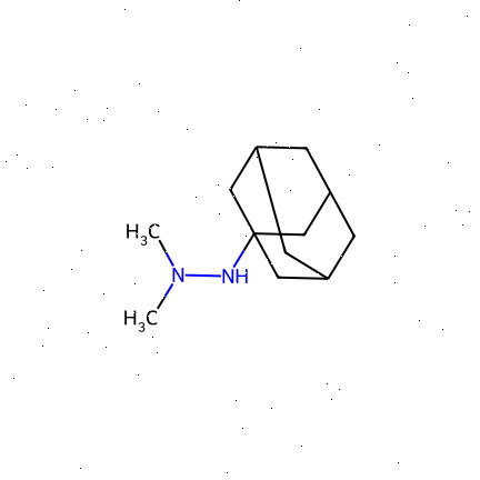 CN(C)NC12CC3CC(CC(C3)C1)C2